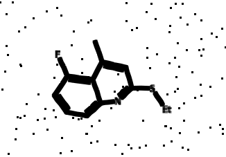 CCSc1cc(C)c2c(F)cccc2n1